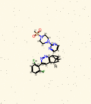 CC1(C)[C@H]2CC[C@]1(c1ccnc(N3CCN(S(C)(=O)=O)CC3)n1)c1nnc(-c3c(F)cccc3F)cc12